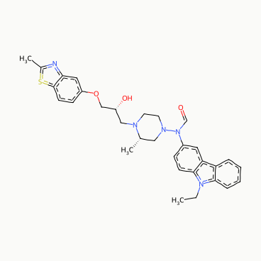 CCn1c2ccccc2c2cc(N(C=O)N3CCN(C[C@@H](O)COc4ccc5sc(C)nc5c4)[C@@H](C)C3)ccc21